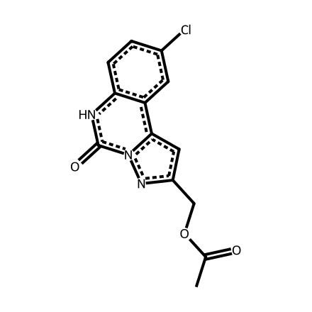 CC(=O)OCc1cc2c3cc(Cl)ccc3[nH]c(=O)n2n1